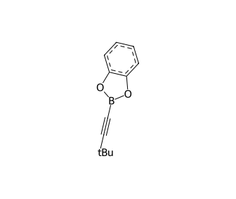 CC(C)(C)C#CB1Oc2ccccc2O1